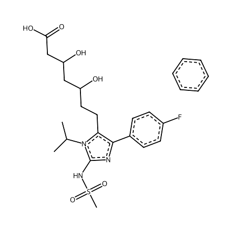 CC(C)n1c(NS(C)(=O)=O)nc(-c2ccc(F)cc2)c1CCC(O)CC(O)CC(=O)O.c1ccccc1